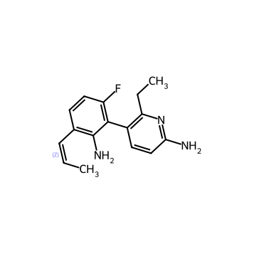 C/C=C\c1ccc(F)c(-c2ccc(N)nc2CC)c1N